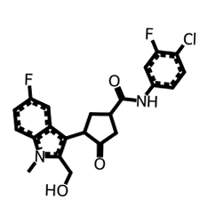 Cn1c(CO)c(C2CC(C(=O)Nc3ccc(Cl)c(F)c3)CC2=O)c2cc(F)ccc21